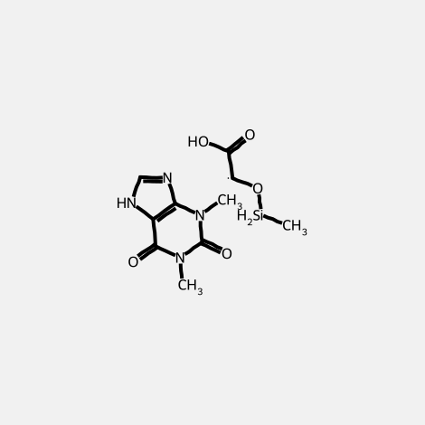 C[SiH2]O[CH]C(=O)O.Cn1c(=O)c2[nH]cnc2n(C)c1=O